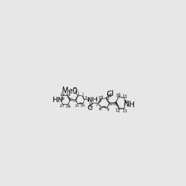 COc1cc(NC(=O)c2ccc(C3=CCNCC3)c(Cl)c2)ccc1C1=CCNCC1